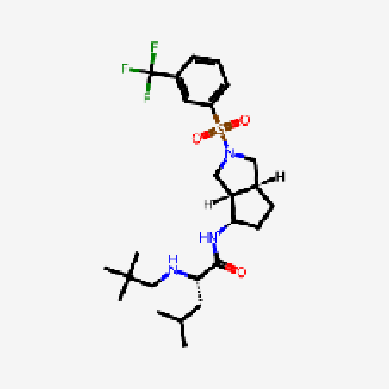 CC(C)C[C@H](NCC(C)(C)C)C(=O)N[C@@H]1CC[C@H]2CN(S(=O)(=O)c3cccc(C(F)(F)F)c3)C[C@H]21